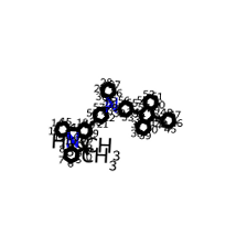 CC(C)(C)c1ccccc1-n1c2ccccc2c2cc(-c3ccc(N(c4ccccc4)c4ccc(-c5c6ccccc6c(-c6ccccc6)c6ccccc56)cc4)cc3)ccc21